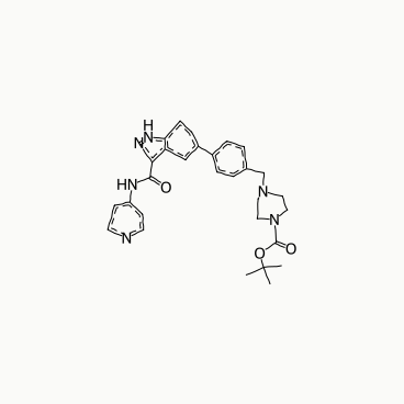 CC(C)(C)OC(=O)N1CCN(Cc2ccc(-c3ccc4[nH]nc(C(=O)Nc5ccncc5)c4c3)cc2)CC1